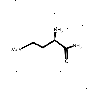 CSCC[C@@H](N)C(N)=O